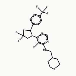 Fc1c(NCC2CCOCC2)ncnc1N1CC(F)(F)CC1c1ccc(C(F)(F)F)cc1